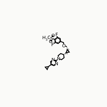 CS(=O)(=O)c1c(F)cc(COC[C@@H]2C[C@@H]2C2CCN(c3ncc(C4CC4)cn3)CC2)cc1F